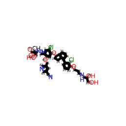 C[C@](CO)(NCc1cc(Cl)c(OC2CCc3c(-c4cccc(OCCCNC[C@H](O)CO)c4Cl)cccc32)cc1OCc1cncc(C#N)c1)C(=O)O